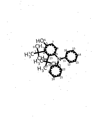 CC(C)(C)c1c(O)ccc(N(c2ccccc2)c2ccccc2)c1C(C)(C)C